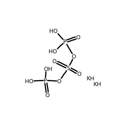 O=P(O)(O)OS(=O)(=O)OP(=O)(O)O.[KH].[KH]